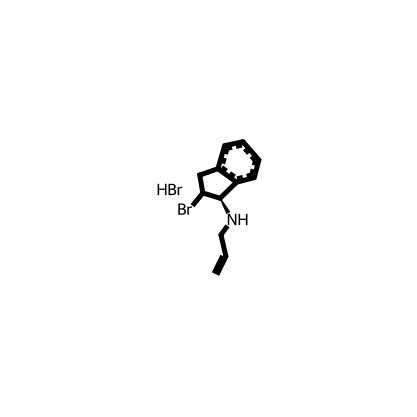 Br.C=CCN[C@@H]1c2ccccc2CC1Br